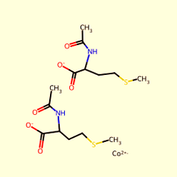 CSCCC(NC(C)=O)C(=O)[O-].CSCCC(NC(C)=O)C(=O)[O-].[Co+2]